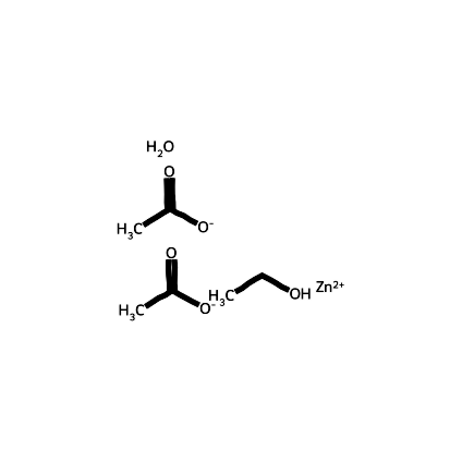 CC(=O)[O-].CC(=O)[O-].CCO.O.[Zn+2]